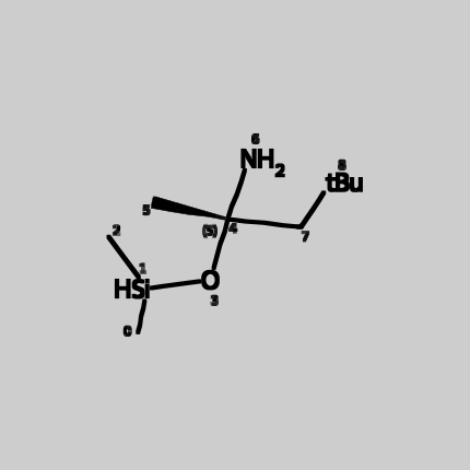 C[SiH](C)O[C@](C)(N)CC(C)(C)C